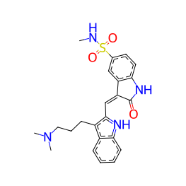 CNS(=O)(=O)c1ccc2c(c1)C(=Cc1[nH]c3ccccc3c1CCCN(C)C)C(=O)N2